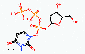 O=c1ccn(OP(=O)(OC2C[C@H](O)[C@@H](CO)O2)OP(=O)(O)OP(=O)(O)O)c(=O)[nH]1